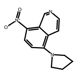 O=[N+]([O-])c1ccc(N2CCCC2)c2ccncc12